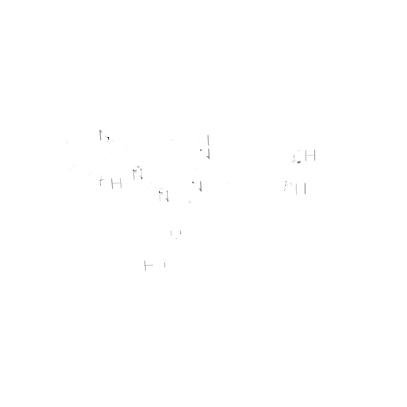 CCOCc1nc(Nc2ccc(C(C)C)cc2)c2ccc(-c3ncccc3C)nc2n1